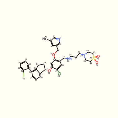 N#Cc1cncc(COc2cc(O[C@H]3CCc4c(-c5ccccc5F)cccc43)c(Cl)cc2CNCCCN2CCS(=O)(=O)CC2)c1